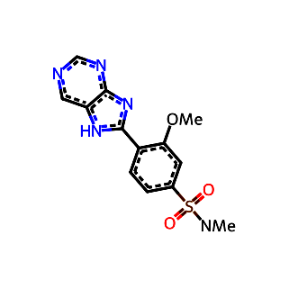 CNS(=O)(=O)c1ccc(-c2nc3ncncc3[nH]2)c(OC)c1